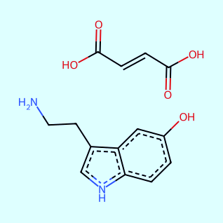 NCCc1c[nH]c2ccc(O)cc12.O=C(O)C=CC(=O)O